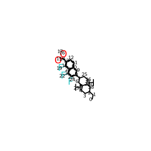 CCC1CC[C@@H]2CC(c3cc4ccc(C(=O)OC)c(F)c4c(F)c3F)CC[C@H]2C1